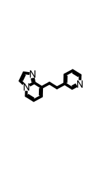 c1cncc(CCc2cccn3ccnc23)c1